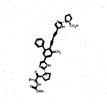 COC(=O)N[C@H](C(=O)N1CCC[C@H]1c1ncc(-c2cc(C)c(C#CC#Cc3cnc([C@@H]4CCCN4C(=O)O)[nH]3)c(-c3ccccc3)c2)[nH]1)C(C)C